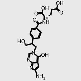 Nc1cc2c(O)n(CC(CO)c3ccc(C(=O)N[C@@H](CCC(=O)O)C(=O)O)cc3)cnc-2n1